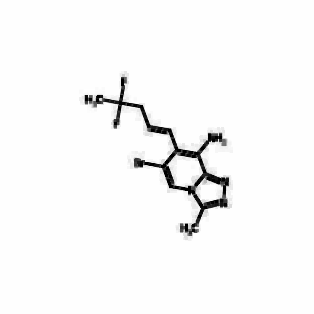 Cc1nnc2c(N)c(/C=C/CC(C)(F)F)c(Br)cn12